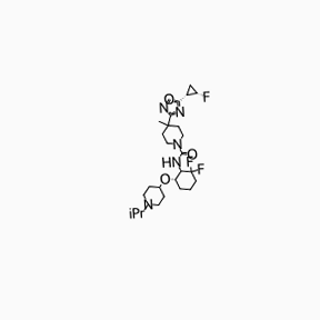 CC(C)N1CCC(O[C@H]2CCCC(F)(F)[C@@H]2NC(=O)N2CCC(C)(c3noc([C@@H]4C[C@@H]4F)n3)CC2)CC1